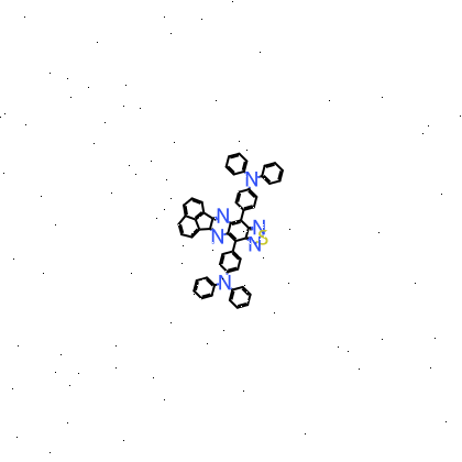 c1ccc(N(c2ccccc2)c2ccc(-c3c4nsnc4c(-c4ccc(N(c5ccccc5)c5ccccc5)cc4)c4nc5c(nc34)-c3cccc4cccc-5c34)cc2)cc1